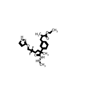 CCOC(=O)C(C)Cc1cccc(C(C)(CCC(F)(F)COc2cc[nH]n2)C(=O)NNC)c1